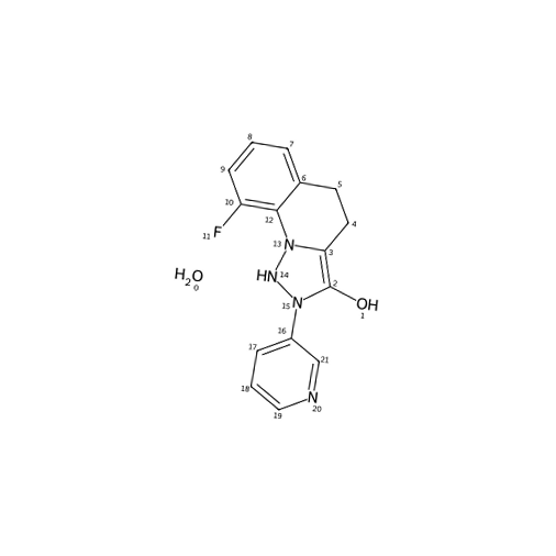 O.OC1=C2CCc3cccc(F)c3N2NN1c1cccnc1